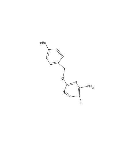 CCCCc1ccc(COc2ncc(F)c(N)n2)cc1